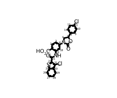 O=C(O)c1ccc(N2CC(c3ccc(Cl)cc3)OC2=O)cc1NC(=O)c1sc2ccccc2c1Cl